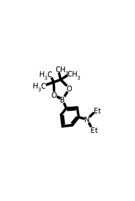 CCN(CC)c1cccc(B2OC(C)(C)C(C)(C)O2)c1